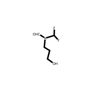 O=[C]N(CCCO)C(F)F